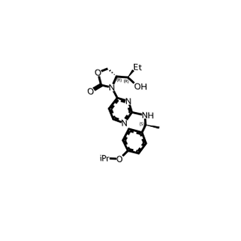 CC[C@@H](O)[C@H]1COC(=O)N1c1ccnc(N[C@@H](C)c2ccc(OC(C)C)cc2)n1